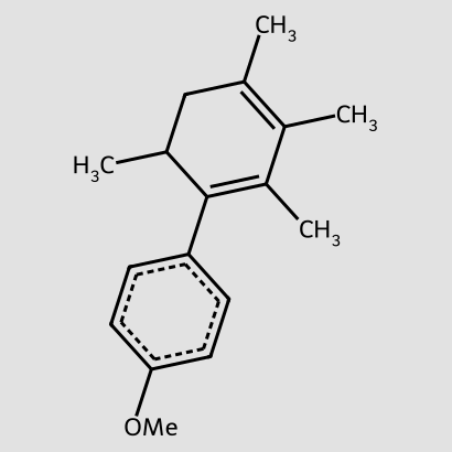 COc1ccc(C2=C(C)C(C)=C(C)CC2C)cc1